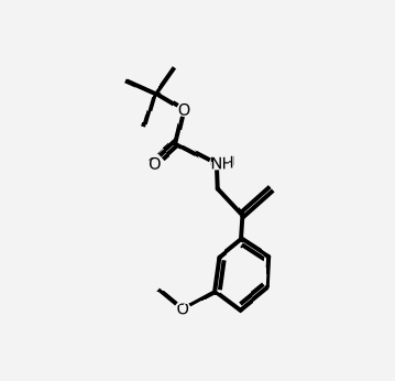 C=C(CNC(=O)OC(C)(C)C)c1cccc(OC)c1